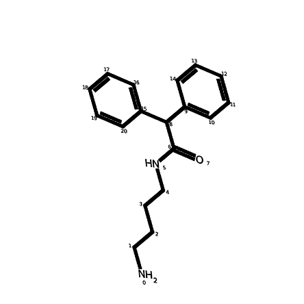 NCCCCNC(=O)C(c1ccccc1)c1ccccc1